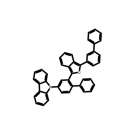 c1ccc(-c2cccc(-c3oc(-c4cc(-n5c6ccccc6c6ccccc65)ccc4-c4ccccc4)c4ccccc34)c2)cc1